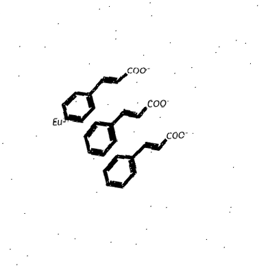 O=C([O-])/C=C/c1ccccc1.O=C([O-])/C=C/c1ccccc1.O=C([O-])/C=C/c1ccccc1.[Eu+3]